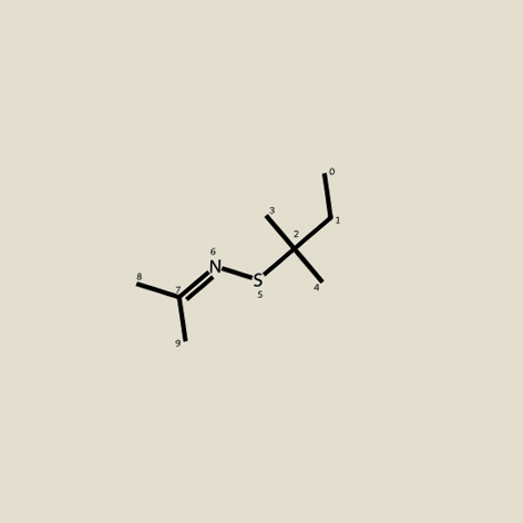 CCC(C)(C)SN=C(C)C